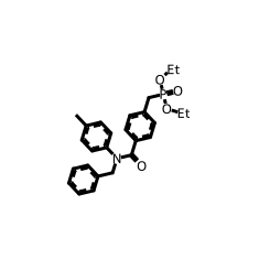 CCOP(=O)(Cc1ccc(C(=O)N(Cc2ccccc2)c2ccc(C)cc2)cc1)OCC